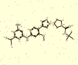 COc1cc(Nc2cc(N)nc(C(F)F)n2)ncc1-c1cnn([C@@H]2CCN(C(=O)OC(C)(C)C)C2)c1